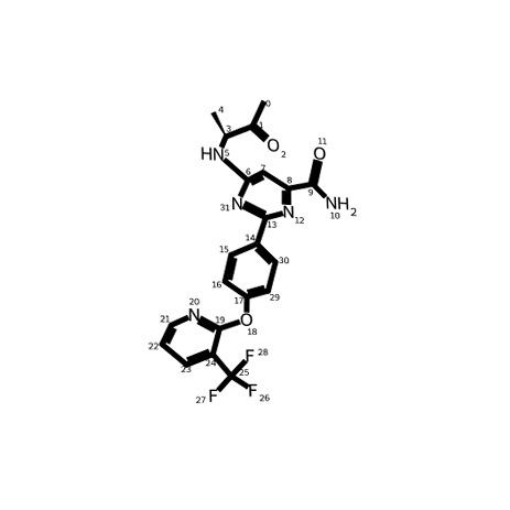 CC(=O)[C@H](C)Nc1cc(C(N)=O)nc(-c2ccc(Oc3ncccc3C(F)(F)F)cc2)n1